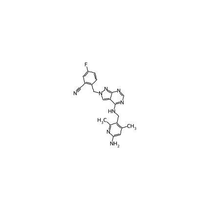 Cc1cc(N)nc(C)c1CNc1ncnc2nn(Cc3ccc(F)cc3C#N)cc12